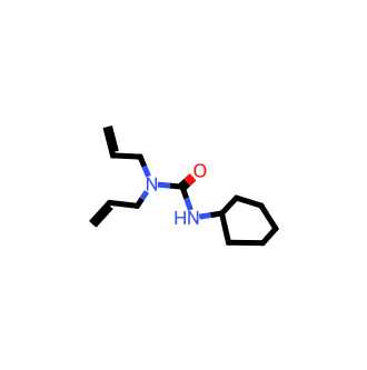 C=CCN(CC=C)C(=O)NC1CCCCC1